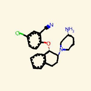 N#Cc1cc(Cl)ccc1O[C@H]1c2ccccc2CC[C@@H]1N1CCC[C@@H](N)C1